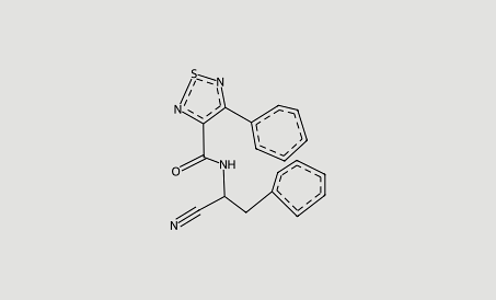 N#CC(Cc1ccccc1)NC(=O)c1nsnc1-c1ccccc1